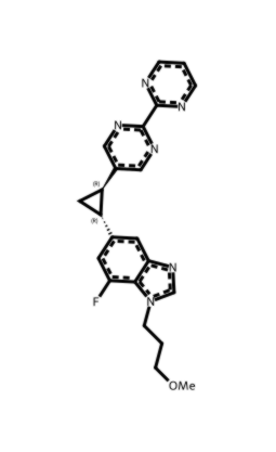 COCCCn1cnc2cc([C@@H]3C[C@H]3c3cnc(-c4ncccn4)nc3)cc(F)c21